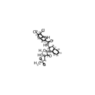 CN(C(=O)[C@@H](O)CS(C)(=O)=O)[C@@H]1c2ccccc2C[C@H]1NC(=O)c1cc2sc(Cl)c(Cl)c2[nH]1